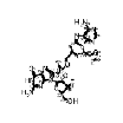 CC(COP(O)(=S)O[C@H]1[C@H](n2cnc3c(=O)[nH]c(N)nc32)O[C@H](CO)C1(F)F)O[C@H]([C@H]1COO1)n1cnc2c(N)ncnc21